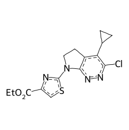 CCOC(=O)c1csc(N2CCc3c2nnc(Cl)c3C2CC2)n1